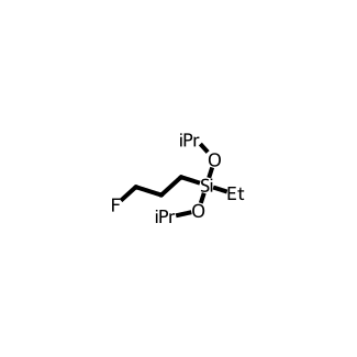 CC[Si](CCCF)(OC(C)C)OC(C)C